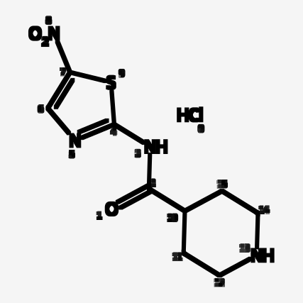 Cl.O=C(Nc1ncc([N+](=O)[O-])s1)C1CCNCC1